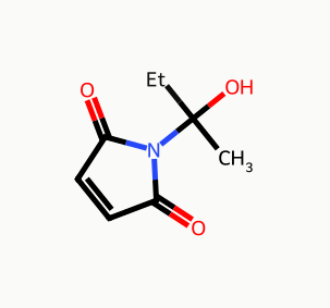 CCC(C)(O)N1C(=O)C=CC1=O